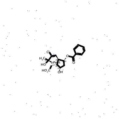 CCCCC[C@](C)(O)/C(Cl)=C\[C@@H]1[C@@H](CC(=O)O)[C@@H](O)C[C@H]1OC(=O)c1ccccc1